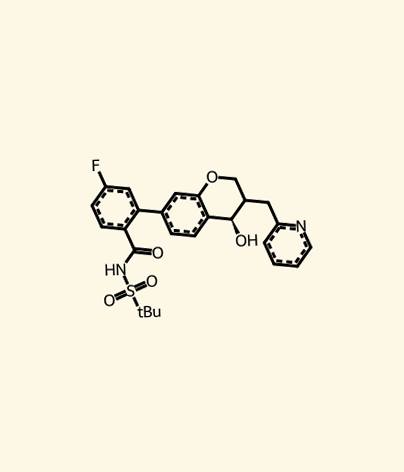 CC(C)(C)S(=O)(=O)NC(=O)c1ccc(F)cc1-c1ccc2c(c1)OCC(Cc1ccccn1)[C@H]2O